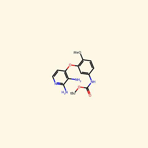 COc1ccc(NC(=O)OC(C)(C)C)cc1Oc1ccnc(N)c1N